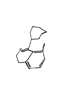 Cc1cccc2c1C(C1CCCCC1)=NCC2